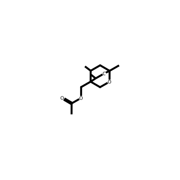 CC(=O)OCC12COC(C)(CC1C)CC2C